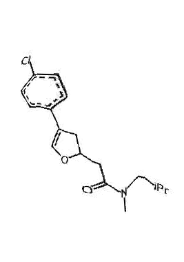 CC(C)CN(C)C(=O)CC1CC(c2ccc(Cl)cc2)=CO1